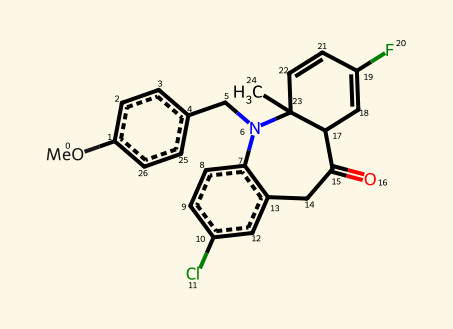 COc1ccc(CN2c3ccc(Cl)cc3CC(=O)C3C=C(F)C=CC32C)cc1